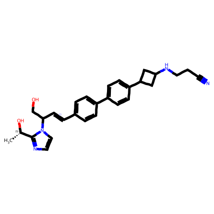 C[C@H](O)c1nccn1C(/C=C/c1ccc(-c2ccc(C3CC(NCCC#N)C3)cc2)cc1)CO